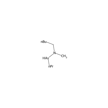 CCCCCN(C)[AsH]CCC